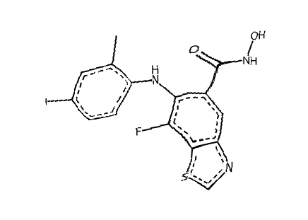 Cc1cc(I)ccc1Nc1c(C(=O)NO)cc2ncsc2c1F